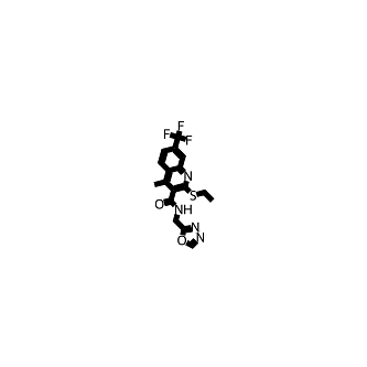 CCSc1nc2cc(C(F)(F)F)ccc2c(C)c1C(=O)NCc1nnco1